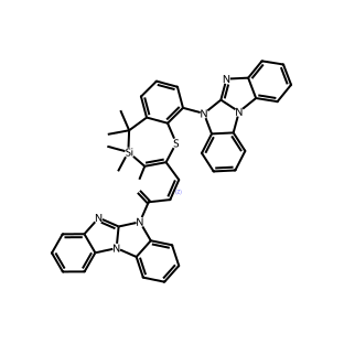 C=C(/C=C\C1=C(C)[Si](C)(C)C(C)(C)c2cccc(-n3c4ccccc4n4c5ccccc5nc34)c2S1)n1c2ccccc2n2c3ccccc3nc12